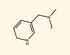 CN(F)CC1=CNCC=C1